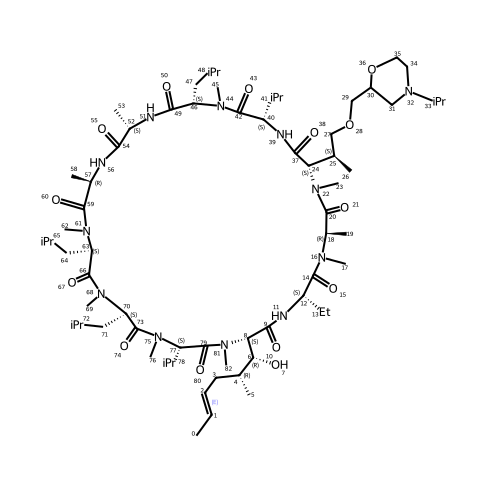 C/C=C/C[C@@H](C)[C@@H](O)[C@H]1C(=O)N[C@@H](CC)C(=O)N(C)[C@H](C)C(=O)N(C)[C@@H]([C@H](C)COCC2CN(C(C)C)CCO2)C(=O)N[C@@H](C(C)C)C(=O)N(C)[C@@H](CC(C)C)C(=O)N[C@@H](C)C(=O)N[C@H](C)C(=O)N(C)[C@@H](CC(C)C)C(=O)N(C)[C@@H](CC(C)C)C(=O)N(C)[C@@H](C(C)C)C(=O)N1C